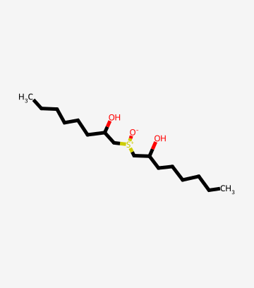 CCCCCCC(O)C[S+]([O-])CC(O)CCCCCC